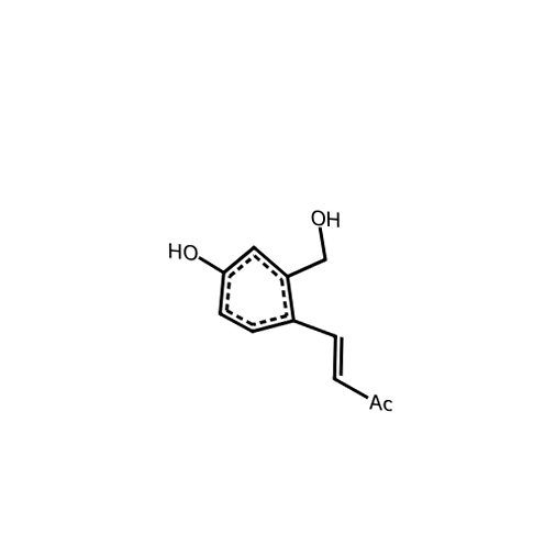 CC(=O)/C=C/c1ccc(O)cc1CO